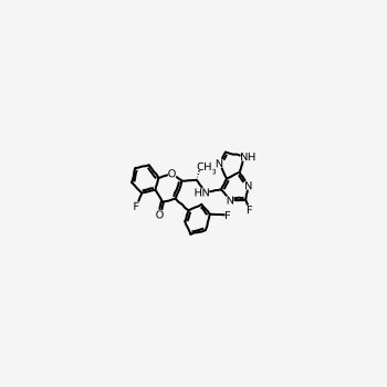 C[C@H](Nc1nc(F)nc2[nH]cnc12)c1oc2cccc(F)c2c(=O)c1-c1cccc(F)c1